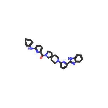 O=C(c1cccc(Nc2ccccc2)n1)N1CCC2(CCN(c3cccc(-c4nc5ccccc5[nH]4)n3)CC2)C1